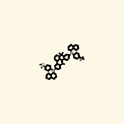 Cc1c2c3c(cccc3c3cc(N(c4ccc([Si](C)(C)C)cc4)c4cccc5ccccc45)ccc13)C(C)(C)c1cc(N(c3ccc([Si](C)(C)C)cc3)c3cccc4ccccc34)ccc1-2